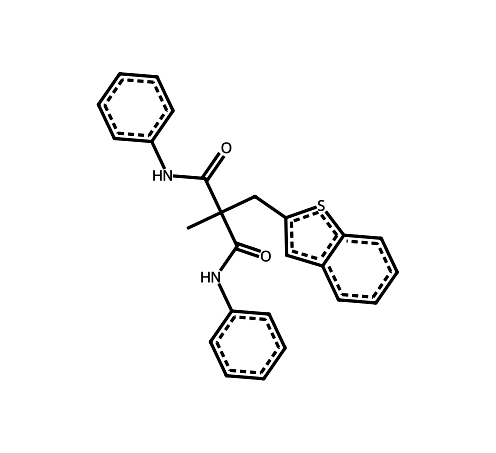 CC(Cc1cc2ccccc2s1)(C(=O)Nc1ccccc1)C(=O)Nc1ccccc1